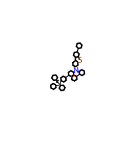 c1ccc(-c2ccc3c(c2)sc2cc(N(c4ccc(-c5ccc([Si](c6ccccc6)(c6ccccc6)c6ccccc6)cc5)cc4)c4ccccc4-c4ccccc4)ccc23)cc1